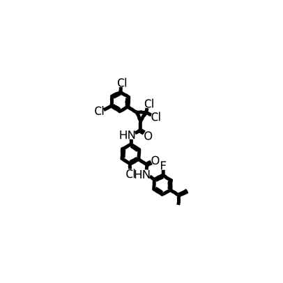 C=C(C)c1ccc(NC(=O)c2cc(NC(=O)C3C(c4cc(Cl)cc(Cl)c4)C3(Cl)Cl)ccc2Cl)c(F)c1